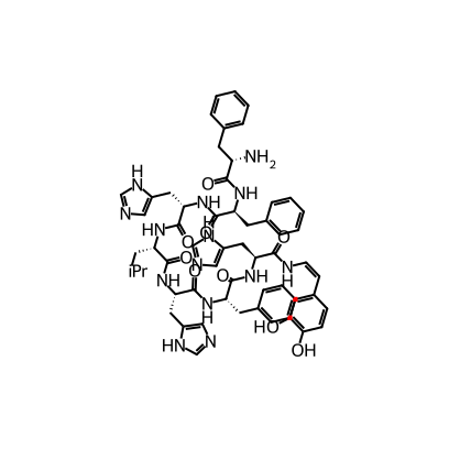 CC(C)C[C@H](NC(=O)[C@H](Cc1cnc[nH]1)NC(=O)[C@H](Cc1ccccc1)NC(=O)[C@@H](N)Cc1ccccc1)C(=O)N[C@@H](Cc1cnc[nH]1)C(=O)N[C@@H](Cc1ccccc1)C(=O)N[C@@H](Cc1cnc[nH]1)C(=O)N/C=C\c1ccc(O)c(O)c1